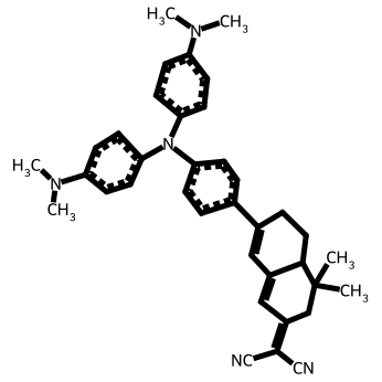 CN(C)c1ccc(N(c2ccc(C3=CC4=CC(=C(C#N)C#N)CC(C)(C)C4CC3)cc2)c2ccc(N(C)C)cc2)cc1